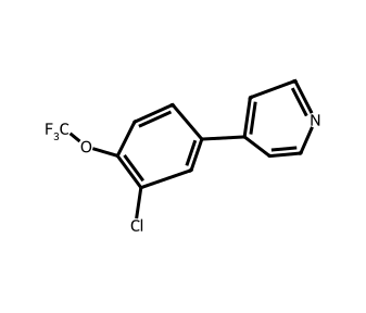 FC(F)(F)Oc1ccc(-c2ccncc2)cc1Cl